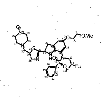 COCCOc1cc2c(c(N(CC(F)F)S(=O)(=O)c3ccccn3)c1)NC(C1=NCC(CN3CC[S+]([O-])CC3)S1)C2